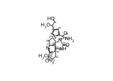 C[C@@H](CO)c1csc(S(N)(=O)=NC(=O)Nc2c3c(nc4c2CCC4(C)C)CCC3)c1